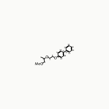 COCC(C)OCCOc1ccc(-c2ccccc2)cc1